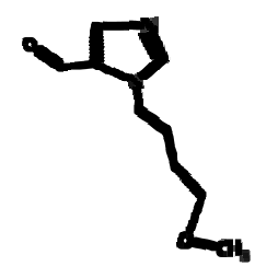 COCCCCn1cncc1C=O